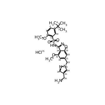 COc1ccc(C(C)(C)C)cc1S(=O)(=O)Nc1noc2cc(Cn3cc(CN)cn3)cc(OC)c12.Cl